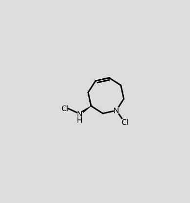 ClN[C@H]1C/C=C\CCN(Cl)C1